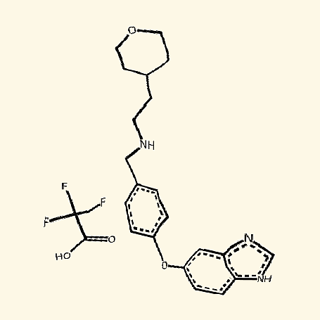 O=C(O)C(F)(F)F.c1nc2cc(Oc3ccc(CNCCC4CCOCC4)cc3)ccc2[nH]1